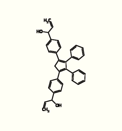 C=CC(O)c1ccc(C2=C(c3ccccc3)C(c3ccccc3)=C(c3ccc(C(O)C=C)cc3)C2)cc1